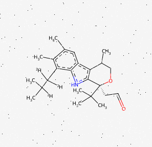 [2H]C(C)(C)C([2H])([2H])c1c(C)c(C)cc2c3c([nH]c12)[C@](CC=O)(C(C)(C)C)OCC3C